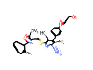 [C-]#[N+]c1c(N)nc(SCc2nc(-c3ccccc3C)oc2C)c(C#N)c1-c1ccc(OCCO)cc1